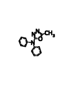 Cc1nnc(N(c2ccccc2)c2ccccc2)o1